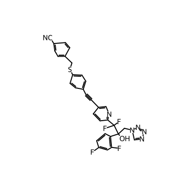 N#Cc1ccc(CSc2ccc(C#Cc3ccc(C(F)(F)C(O)(Cn4cnnn4)c4ccc(F)cc4F)nc3)cc2)cc1